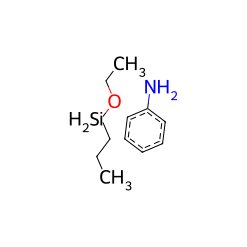 CCC[SiH2]OCC.Nc1ccccc1